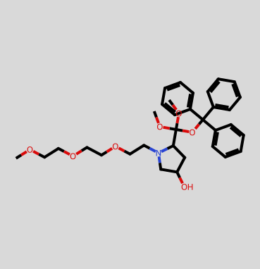 COCCOCCOCCN1CC(O)CC1C(OC)(OC)OC(c1ccccc1)(c1ccccc1)c1ccccc1